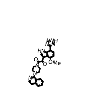 COc1ccc(-c2nn[nH]n2)c2[nH]cc(C(=O)C(=O)N3CCN(c4nccc5ccccc45)CC3)c12